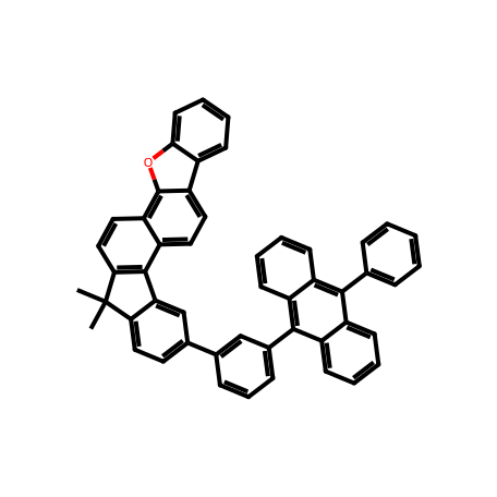 CC1(C)c2ccc(-c3cccc(-c4c5ccccc5c(-c5ccccc5)c5ccccc45)c3)cc2-c2c1ccc1c2ccc2c3ccccc3oc12